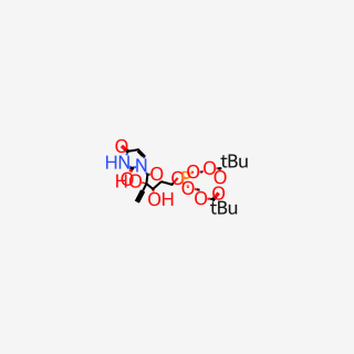 C#C[C@@]1(O)C(O)C(COP(OCOC(=O)C(C)(C)C)OCOC(=O)C(C)(C)C)OC1n1ccc(=O)[nH]c1=O